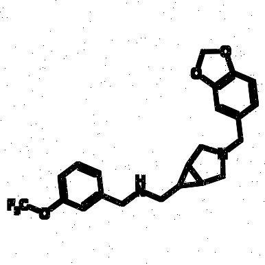 FC(F)(F)Oc1cccc(CNCC2C3CN(Cc4ccc5c(c4)OCO5)CC23)c1